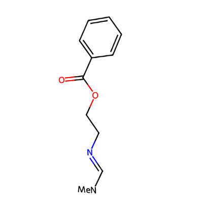 CNC=NCCOC(=O)c1ccccc1